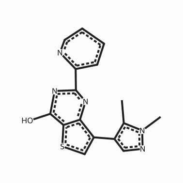 Cc1c(-c2csc3c(O)nc(-c4ccccn4)nc23)cnn1C